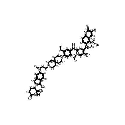 CCc1cc(Nc2ncc(Br)c(Nc3ccc4nc(C)c(F)cc4c3P(C)(C)=O)n2)c(OC)cc1N1CCC2(CCN(CCN(C)c3ccc4c(c3)CN(C3CCC(=O)NC3=O)C4=O)CC2)CC1